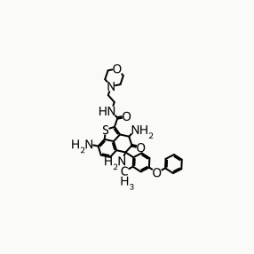 Cc1cc(Oc2ccccc2)ccc1C1(N)C(=O)C(N)c2c(C(=O)NCCN3CCOCC3)sc3c(N)ccc1c23